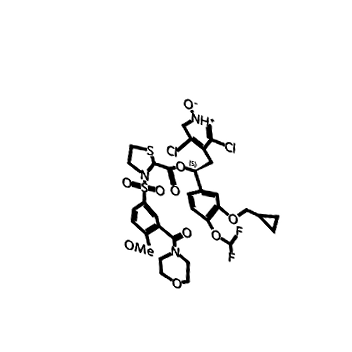 COc1ccc(S(=O)(=O)N2CCSC2C(=O)O[C@@H](CC2=C(Cl)C[NH+]([O-])C=C2Cl)c2ccc(OC(F)F)c(OCC3CC3)c2)cc1C(=O)N1CCOCC1